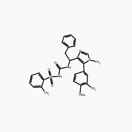 COc1ccc(-c2c(C(Cc3ccccc3)NC(=O)NS(=O)(=O)c3ccccc3C)ncn2C)cc1C